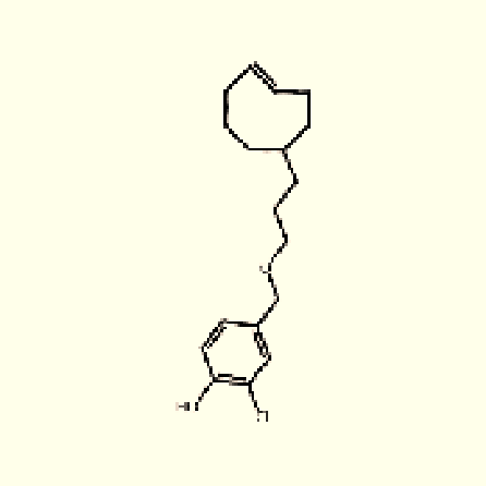 Oc1ccc(COCCCC2CC/C=C/CCC2)cc1Cl